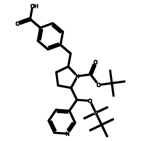 CC(C)(C)OC(=O)N1C(Cc2ccc(C(=O)O)cc2)CCC1C(O[Si](C)(C)C(C)(C)C)c1cccnc1